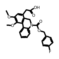 CCN(Cc1c(CC(=O)O)cc(OC)c(OC)c1-c1ccccc1)C(=O)OCc1ccc(F)cc1